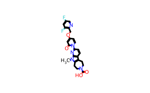 Cn1c2c(c3ccc(-n4ccc(OCc5ncc(F)cc5F)cc4=O)nc31)CCN(C(=O)O)CC2